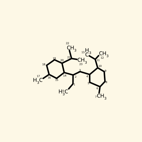 CCC([CH]C1CC(C)CCC1C(C)C)C1CC(C)CCC1C(C)C